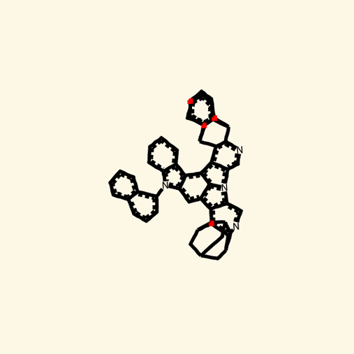 c1ccc2c(c1)C1c3ccccc3C2c2c1ncc1c2c2c3c4ccccc4n(-c4cccc5ccccc45)c3cc3c4c5c(ncc4n1c32)C1CC2CC(C1)CC5C2